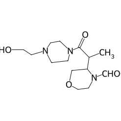 CC(C(=O)N1CCN(CCO)CC1)C1COCCN1[C]=O